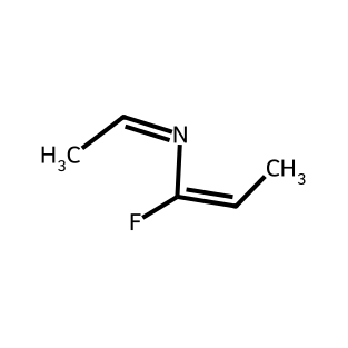 C/C=N\C(F)=C/C